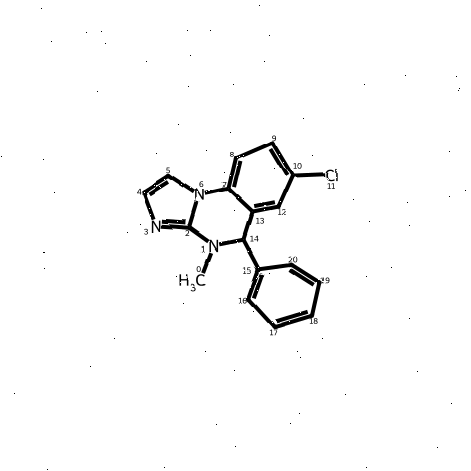 CN1c2nccn2-c2ccc(Cl)cc2C1c1ccccc1